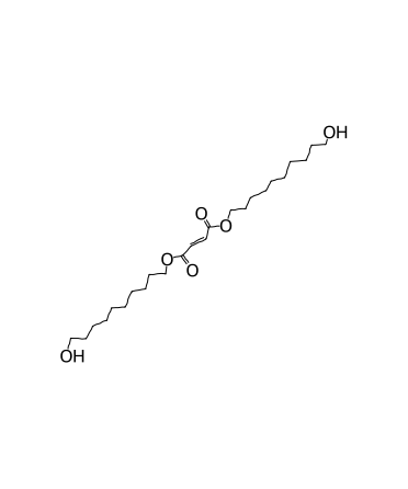 O=C(/C=C/C(=O)OCCCCCCCCCCO)OCCCCCCCCCCO